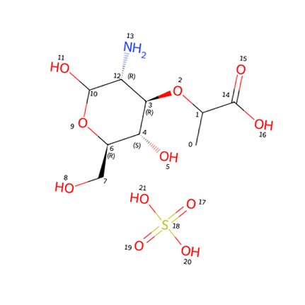 CC(O[C@H]1[C@H](O)[C@@H](CO)OC(O)[C@@H]1N)C(=O)O.O=S(=O)(O)O